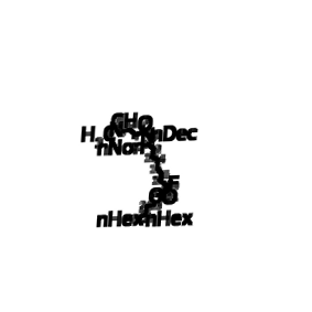 CCCCCCCCCCN(C(=O)CCCN(C)C)C(CCCCCCCCC)CCCCCCC(F)C(=O)OCCC(CCCCCC)CCCCCC